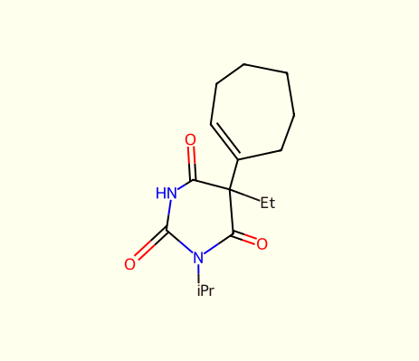 CCC1(C2=CCCCCC2)C(=O)NC(=O)N(C(C)C)C1=O